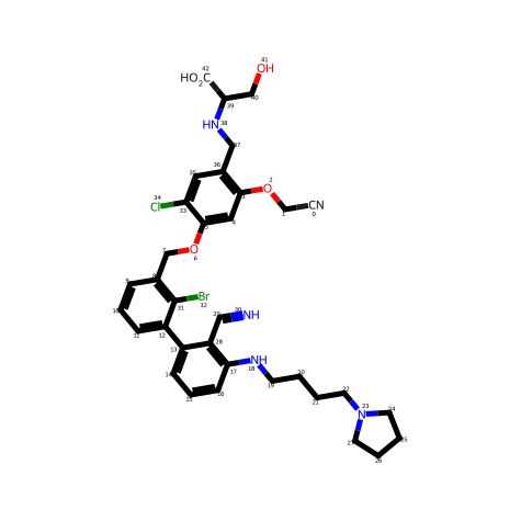 N#CCOc1cc(OCc2cccc(-c3cccc(NCCCCN4CCCC4)c3C=N)c2Br)c(Cl)cc1CNC(CO)C(=O)O